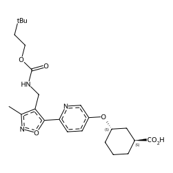 Cc1noc(-c2ccc(O[C@H]3CCC[C@H](C(=O)O)C3)cn2)c1CNC(=O)OCCC(C)(C)C